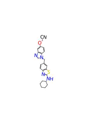 N#CCOc1ccc2c(c1)ncn2Cc1ccc2nc(NC3CCCCC3)sc2c1